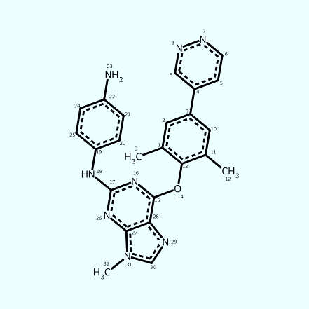 Cc1cc(-c2ccnnc2)cc(C)c1Oc1nc(Nc2ccc(N)cc2)nc2c1ncn2C